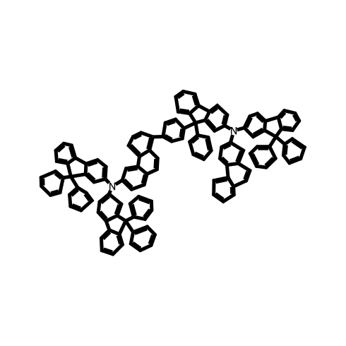 c1ccc(C2(c3ccccc3)c3ccccc3-c3ccc(N(c4ccc5c(c4)C(c4ccccc4)(c4ccc(-c6cccc7c6ccc6ccc(N(c8ccc9c(c8)C(c8ccccc8)(c8ccccc8)c8ccccc8-9)c8ccc9c(c8)C(c8ccccc8)(c8ccccc8)c8ccccc8-9)cc67)cc4)c4ccccc4-5)c4ccc5c(ccc6ccccc65)c4)cc32)cc1